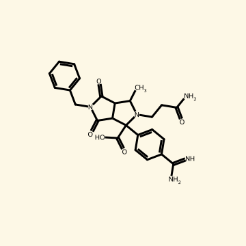 CC1C2C(=O)N(Cc3ccccc3)C(=O)C2C(C(=O)O)(c2ccc(C(=N)N)cc2)N1CCC(N)=O